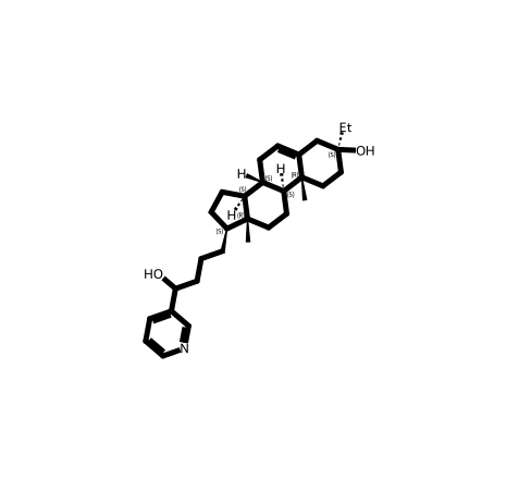 CC[C@]1(O)CC[C@@]2(C)C(=CC[C@H]3[C@@H]4CC[C@H](CCCC(O)c5cccnc5)[C@@]4(C)CC[C@@H]32)C1